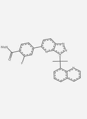 CNC(=O)c1ccc(-c2ccc3nnn(C(C)(C)c4cccc5cccnc45)c3n2)cc1F